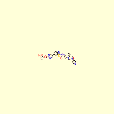 C[C@H]1CN(C(=O)c2ccncc2)CCN1[C@H]1C[C@@H](C(=O)Nc2nc3ccc(-c4cnc(CO[C@H]5CCC[C@@H]5O)nc4)cc3s2)C1